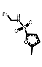 Cc1ccc(S(=O)(=O)NCC(C)C)o1